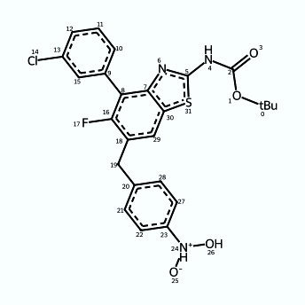 CC(C)(C)OC(=O)Nc1nc2c(-c3cccc(Cl)c3)c(F)c(Cc3ccc([NH+]([O-])O)cc3)cc2s1